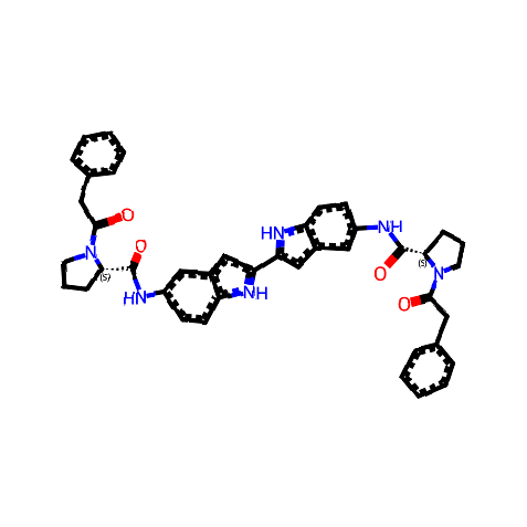 O=C(Nc1ccc2[nH]c(-c3cc4cc(NC(=O)[C@@H]5CCCN5C(=O)Cc5ccccc5)ccc4[nH]3)cc2c1)[C@@H]1CCCN1C(=O)Cc1ccccc1